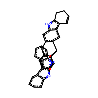 C1=Cc2c([nH]c3cc4c(cc23)C2c3cc5[nH]c6ccccc6c5cc3C4c3cc4c(cc32)[nH]c2ccccc24)CC1